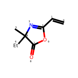 C=CC1=NC(C)(CC)C(=O)O1